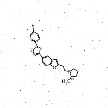 C[C@@H]1CCCN1CCc1cc2cc(-c3noc(-c4ccc(F)cc4)n3)ccc2o1